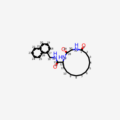 O=C1CCCCCCCCCCC(C(=O)NCc2cccc3ccccc23)NC(=O)CN1